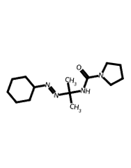 CC(C)(N=NC1CCCCC1)NC(=O)N1CCCC1